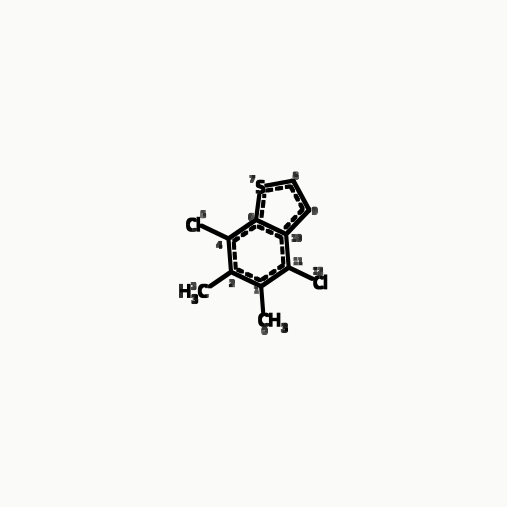 Cc1c(C)c(Cl)c2sccc2c1Cl